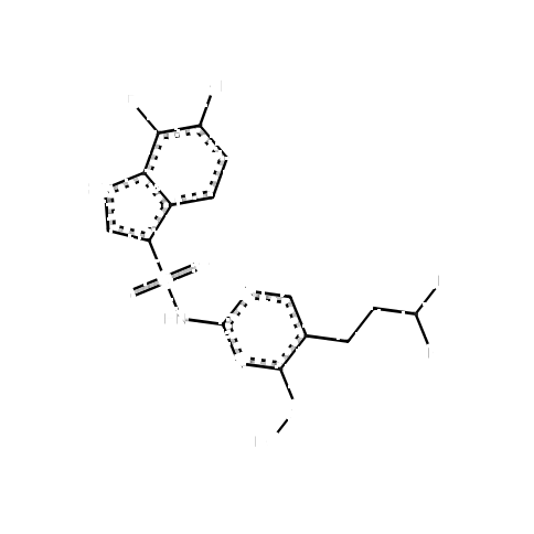 COc1nc(NS(=O)(=O)c2c[nH]c3c(F)c(Cl)ccc23)ncc1CCC(F)F